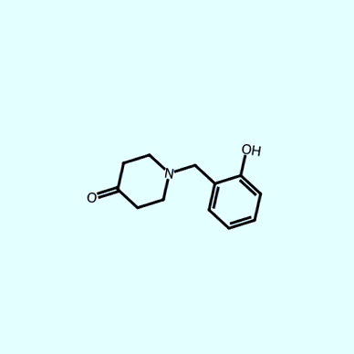 O=C1CCN(Cc2ccccc2O)CC1